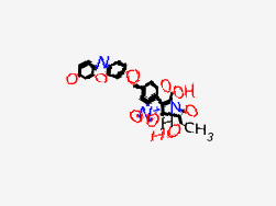 C[C@@H](O)[C@H]1C(=O)N2C(C(=O)O)=C(c3ccc(COc4ccc5nc6ccc(=O)cc-6oc5c4)cc3[N+](=O)[O-])C[C@H]12